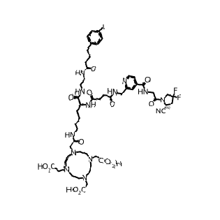 N#C[C@@H]1CC(F)(F)CN1C(=O)CNC(=O)c1ccnc(CNC(=O)CCC(=O)NC(CCCCNC(=O)CN2CCN(CC(=O)O)CCN(CC(=O)O)CCN(CC(=O)O)CC2)C(=O)NCCNC(=O)CCCc2ccc(I)cc2)c1